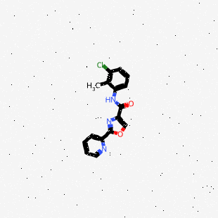 Cc1c(Cl)cccc1NC(=O)c1coc(-c2ccccn2)n1